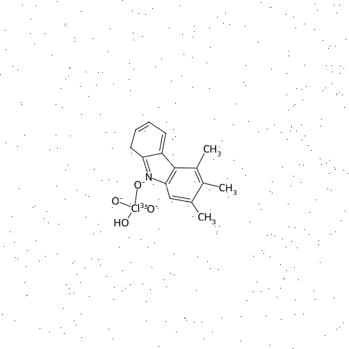 Cc1cc2c(c(C)c1C)C1=CC=CCC1=N2.[O-][Cl+3]([O-])([O-])O